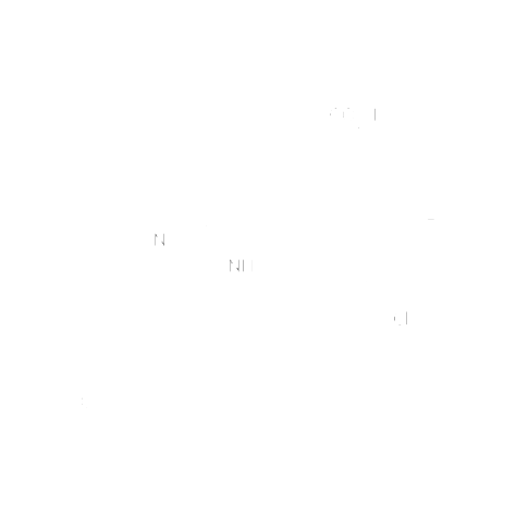 O=C(O)CC(Cc1nc2cc(Cl)ccc2[nH]1)c1ccc(Cl)c(F)c1